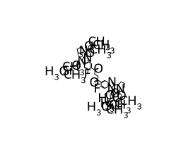 CC(C)(C)OC(=O)N1CCCC1c1nc2cc(C(=O)CCC(=O)c3cc4nc([C@@H]5CCCN5C(=O)OC(C)(C)C)n(COCC[Si](C)(C)C)c4cc3F)c(F)cc2n1COCC[Si](C)(C)C